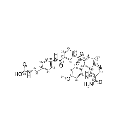 COc1cccc(Nc2c(C(N)=O)cnc3c(C)cc(S(=O)(=O)c4cccc(C(=O)Nc5ccc(CCNC(=O)O)cc5)c4)cc23)c1